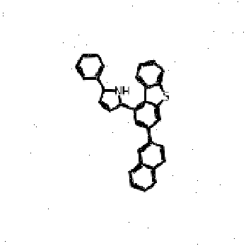 C1=CC(c2cc(-c3ccc4ccccc4c3)cc3sc4ccccc4c23)NC1c1ccccc1